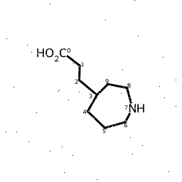 O=C(O)CCC1CCCNCC1